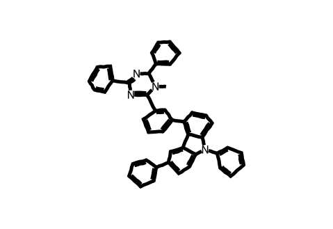 CN1C(c2cccc(-c3cccc4c3c3cc(-c5ccccc5)ccc3n4-c3ccccc3)c2)=NC(c2ccccc2)=NC1c1ccccc1